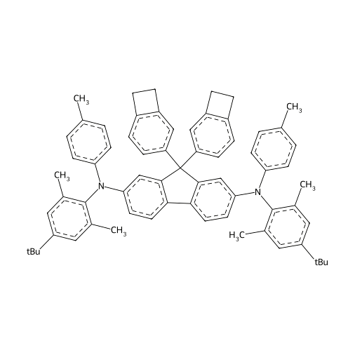 Cc1ccc(N(c2ccc3c(c2)C(c2ccc4c(c2)CC4)(c2ccc4c(c2)CC4)c2cc(N(c4ccc(C)cc4)c4c(C)cc(C(C)(C)C)cc4C)ccc2-3)c2c(C)cc(C(C)(C)C)cc2C)cc1